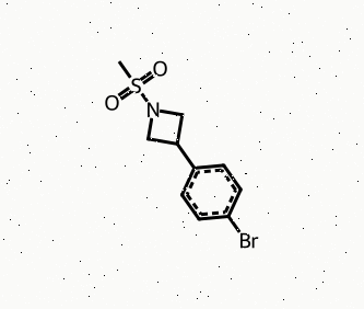 CS(=O)(=O)N1CC(c2ccc(Br)cc2)C1